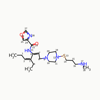 CC/C=C(CC)\C(=C/CN1CCN(SCCCNC)CC1)NC(=O)c1cocn1